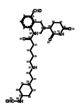 CN(Cc1c(C=O)cccc1NC(=O)CCCCNCCN1CCC(NC=O)CC1)C1CCC(=O)NC1=O